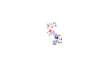 O=C(O)/C(=N\OC1(C(=O)OC(c2ccccc2)c2ccccc2)CCCC1)c1csc(NC(c2ccccc2)(c2ccccc2)c2ccccc2)n1